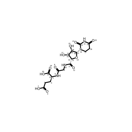 O=C(O)CC[C@H](NC(=O)CNC(=O)[C@H]1O[C@@H](N2CCC(=O)NC2=O)[C@H](O)[C@@H]1O)C(=O)O